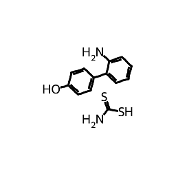 NC(=S)S.Nc1ccccc1-c1ccc(O)cc1